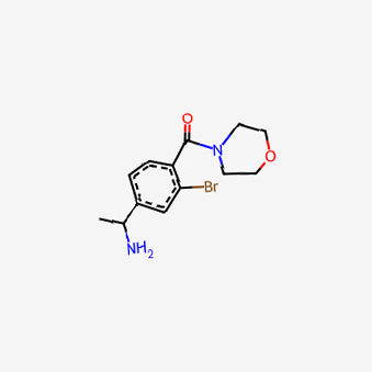 CC(N)c1ccc(C(=O)N2CCOCC2)c(Br)c1